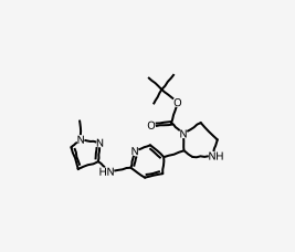 Cn1ccc(Nc2ccc(C3CNCCN3C(=O)OC(C)(C)C)cn2)n1